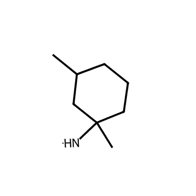 CC1CCCC(C)([NH])C1